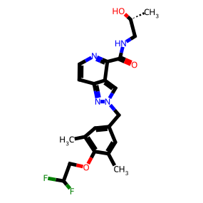 Cc1cc(Cn2cc3c(C(=O)NC[C@@H](C)O)nccc3n2)cc(C)c1OCC(F)F